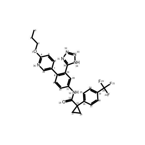 CCCOc1ccc(-c2ccc(NC(=O)C3(c4ccc(C(F)(F)F)cc4)CC3)cc2-c2nnn[nH]2)cn1